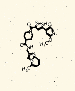 COc1cc(-c2cc(C(=O)N3CCC(C(=O)NCc4cn5c(C)cccc5n4)CC3)n[nH]2)c(Cl)cn1